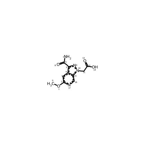 COc1cc2c(C(N)=O)nn(CC(=O)O)c2cn1